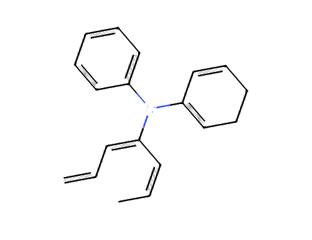 C=C/C=C(\C=C/C)N(C1=CCCC=C1)c1ccccc1